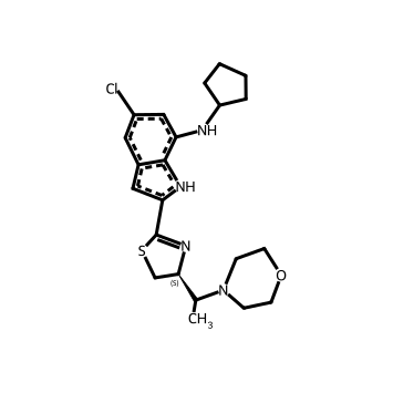 CC([C@H]1CSC(c2cc3cc(Cl)cc(NC4CCCC4)c3[nH]2)=N1)N1CCOCC1